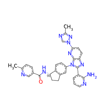 Cc1ccc(C(=O)N[C@H]2CCc3cc(-n4c(-c5cccnc5N)nc5ccc(-n6cnc(C)n6)nc54)ccc32)cn1